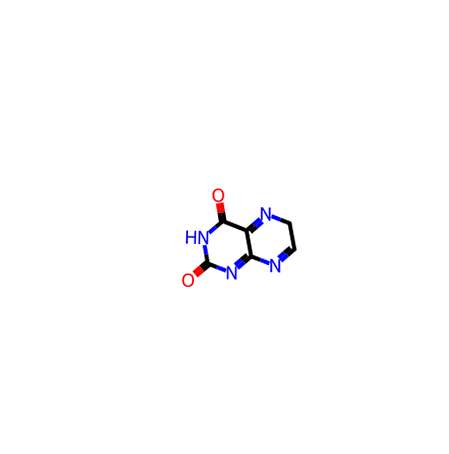 O=C1N=C2N=CCN=C2C(=O)N1